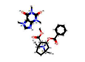 COC(=O)[C@H]1[C@@H](OC(=O)c2ccccc2)C[C@@H]2CC[C@H]1N2C.Cn1c(=O)c2c(ncn2C)n(C)c1=O